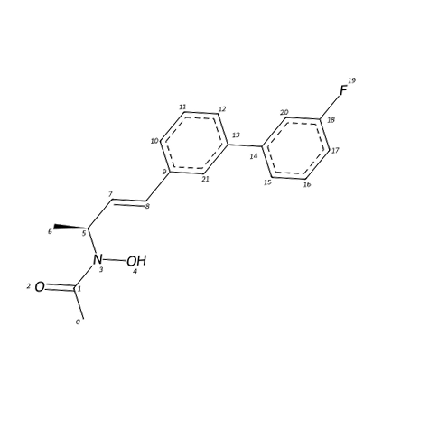 CC(=O)N(O)[C@@H](C)/C=C/c1cccc(-c2cccc(F)c2)c1